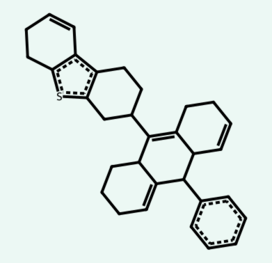 C1=CC2C(=C(C3CCc4c(sc5c4C=CCC5)C3)C3CCCC=C3C2c2ccccc2)CC1